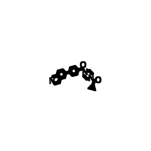 O=C(c1ccc(-c2ccc3cnccc3c2)cc1)N1CCN(C(=O)C2CC2)CC1